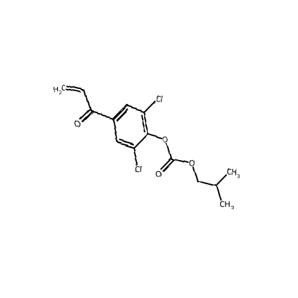 C=CC(=O)c1cc(Cl)c(OC(=O)OCC(C)C)c(Cl)c1